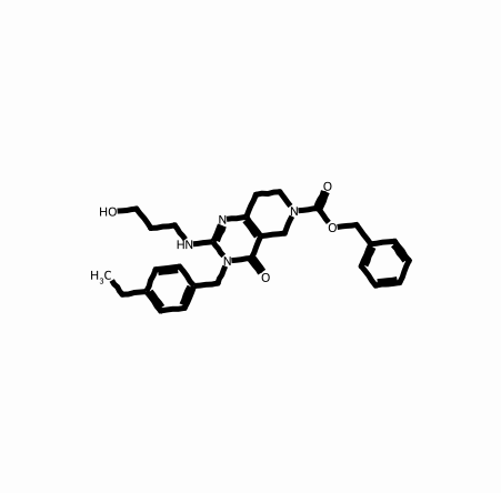 CCc1ccc(Cn2c(NCCCO)nc3c(c2=O)CN(C(=O)OCc2ccccc2)CC3)cc1